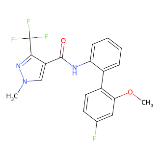 COc1cc(F)ccc1-c1ccccc1NC(=O)c1cn(C)nc1C(F)(F)F